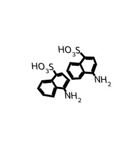 Nc1ccc(S(=O)(=O)O)c2ccccc12.Nc1ccc(S(=O)(=O)O)c2ccccc12